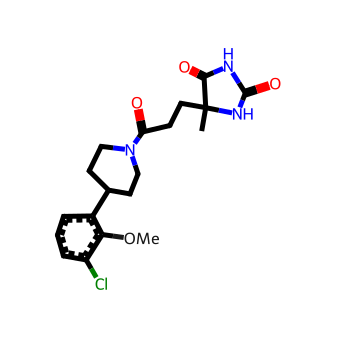 COc1c(Cl)cccc1C1CCN(C(=O)CCC2(C)NC(=O)NC2=O)CC1